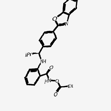 CCC(=O)ONC(=O)c1ccccc1N[C@H](c1ccc(-c2nc3ccccc3o2)cc1)C(C)C